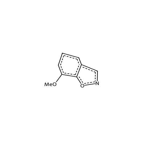 COc1cccc2cnoc12